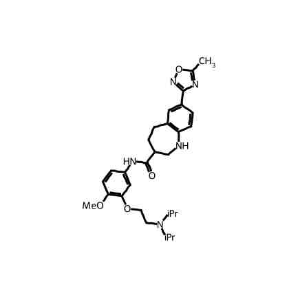 COc1ccc(NC(=O)C2CCc3cc(-c4noc(C)n4)ccc3NC2)cc1OCCN(C(C)C)C(C)C